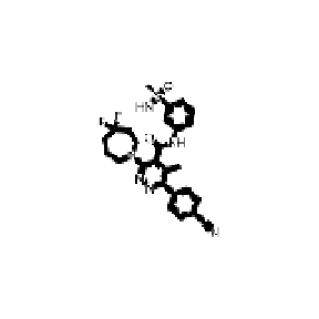 Cc1c(-c2ccc(C#N)cc2)nnc(N2CCCC(F)(F)CC2)c1C(=O)Nc1cccc([S@](C)(=N)=O)c1